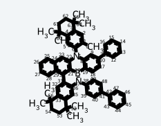 Cc1cc2c(cc1N1c3cc(-c4ccccc4)ccc3B3c4c1cc1ccccc1c4-c1cc4c(cc1N3c1ccc(-c3ccccc3)cc1)C(C)(C)CCC4(C)C)C(C)(C)CCC2(C)C